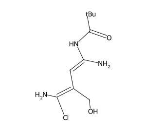 CC(C)(C)C(=O)N/C(N)=C/C(CO)=C(\N)Cl